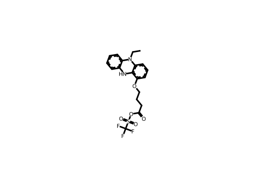 CCN1c2ccccc2Nc2c(OCCCC(=O)OS(=O)(=O)C(F)(F)F)cccc21